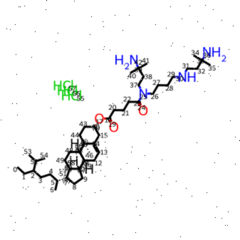 CCC(CCC(C)[C@H]1CC[C@H]2[C@@H]3CC=C4C[C@@H](OC(=O)CCCC(=O)N(CCCCNCCC(C)(C)N)CCC(C)(C)N)CC[C@]4(C)[C@H]3CC[C@]12C)C(C)C.Cl.Cl.Cl